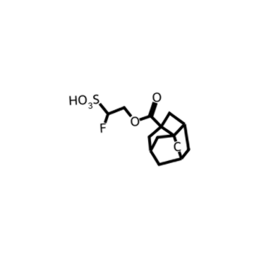 O=C(OCC(F)S(=O)(=O)O)C12CC3CC4CC(C1)C2(C4)C3